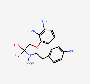 CC(O)(COc1cccc(N)c1N)N(CCc1ccc(N)cc1)C(=O)O